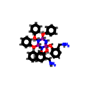 NCc1ccccc1OP1(Oc2ccccc2CN)=NP(Oc2ccccc2)N(Oc2ccccc2)P(Oc2ccccc2)N1Oc1ccccc1